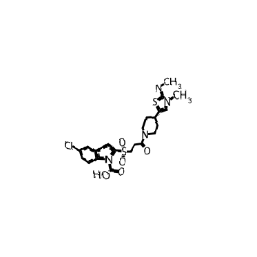 CN=c1sc(C2CCN(C(=O)CCS(=O)(=O)c3cc4cc(Cl)ccc4n3C(=O)O)CC2)cn1C